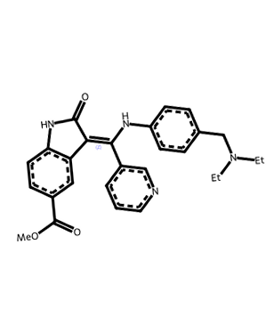 CCN(CC)Cc1ccc(N/C(=C2\C(=O)Nc3ccc(C(=O)OC)cc32)c2cccnc2)cc1